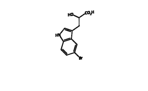 O=C(O)C(O)Cc1c[nH]c2ccc(Br)cc12